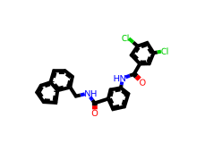 O=C(NCc1cccc2ccccc12)c1cccc(NC(=O)c2cc(Cl)cc(Cl)c2)c1